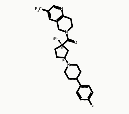 CC(C)[C@]1(C(=O)N2CCc3ncc(C(F)(F)F)cc3C2)CC[C@H](N2CCC(c3ccc(F)cc3)CC2)C1